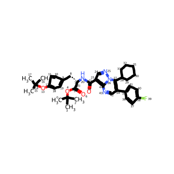 CC(C)(C)OC(=O)[C@H](Cc1ccc(OC(C)(C)C)cc1)NC(=O)c1cnn2c(C3CCCCC3)c(-c3ccc(F)cc3)cnc12